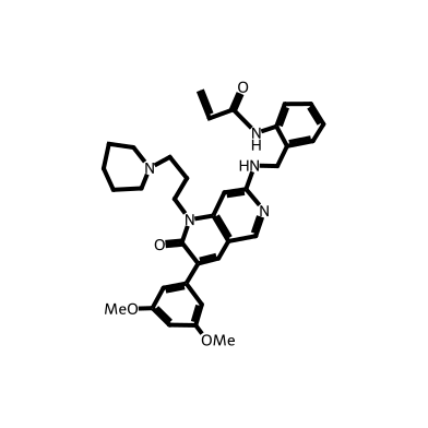 C=CC(=O)Nc1ccccc1CNc1cc2c(cn1)cc(-c1cc(OC)cc(OC)c1)c(=O)n2CCCN1CCCCC1